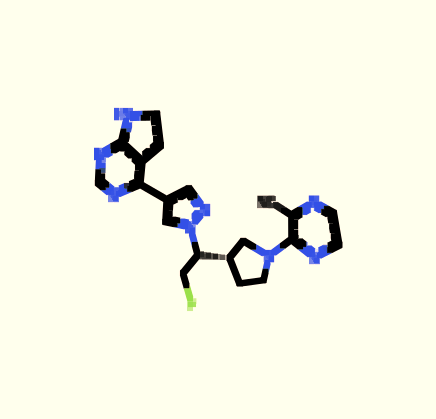 N#Cc1nccnc1N1CC[C@H](C(CF)n2cc(-c3ncnc4[nH]ccc34)cn2)C1